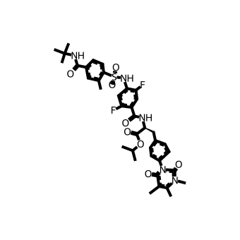 Cc1cc(C(=O)NC(C)(C)C)ccc1S(=O)(=O)Nc1cc(F)c(C(=O)N[C@@H](Cc2ccc(-n3c(=O)c(C)c(C)n(C)c3=O)cc2)C(=O)OC(C)C)cc1F